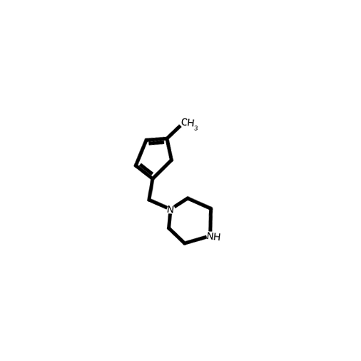 CC1=CC=C(CN2CCNCC2)C1